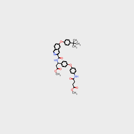 COC(=O)CCC(=O)Nc1ccc(Oc2ccc(C(CC(=O)OC)NC(=O)c3cc4cc(Oc5ccc(C(C)(C)C)cc5)ccc4cn3)cc2)cc1